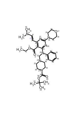 CCOC(=O)c1c(/C=C/N(C)C)nc(N2CCOCC2)nc1N(CN1CCN(C(=O)OC(C)(C)C)CC1)c1ccccc1